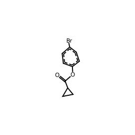 O=C(Oc1ccc(Br)cc1)C1CC1